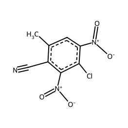 Cc1cc([N+](=O)[O-])c(Cl)c([N+](=O)[O-])c1C#N